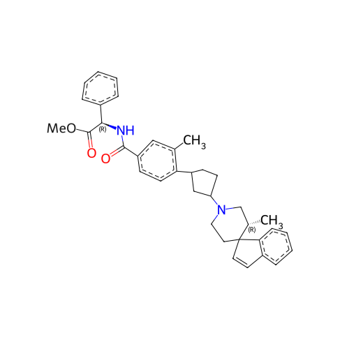 COC(=O)[C@H](NC(=O)c1ccc(C2CCC(N3CCC4(C=Cc5ccccc54)[C@@H](C)C3)C2)c(C)c1)c1ccccc1